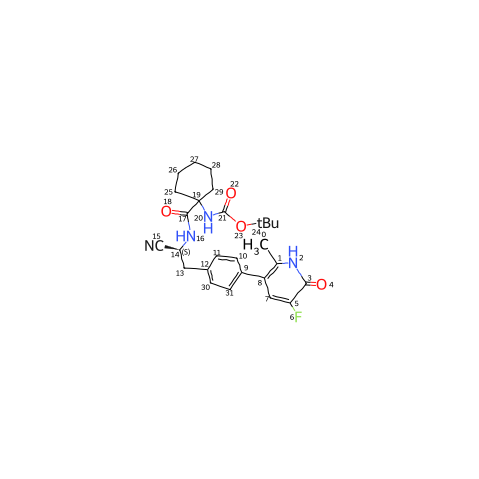 Cc1[nH]c(=O)c(F)cc1-c1ccc(C[C@@H](C#N)NC(=O)C2(NC(=O)OC(C)(C)C)CCCCC2)cc1